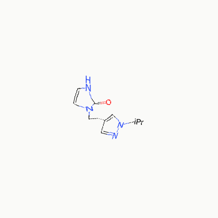 CC(C)n1cc(Cn2cc[nH]c2=O)cn1